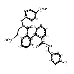 COc1ccc(CN(CCC(=O)O)C(=O)c2ccccc2-c2ccccc2C(=O)NCc2ccc(Cl)cc2)cc1